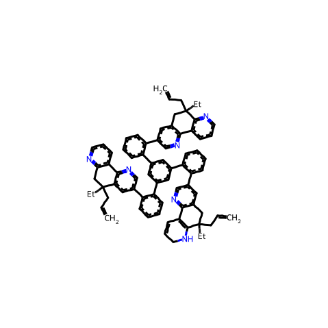 C=CCC1(CC)Cc2cc(-c3ccccc3-c3cc(-c4ccccc4-c4cnc5c(c4)CC(CC)(CC=C)c4ncccc4-5)cc(-c4ccccc4-c4cnc5c(c4)C(CC)(CC=C)Cc4ncccc4-5)c3)cnc2C2=C1NCC=C2